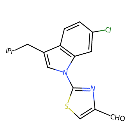 CC(C)Cc1cn(-c2nc(C=O)cs2)c2cc(Cl)ccc12